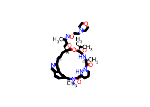 C/C(CC[C@@H]1C/C=C/c2cc3cc(ccc3cn2)[C@@H](C)NC(=O)[C@@H]2CCCN(N2)C(=O)[C@H](C)NC(=O)[C@H](C(C)C)OC1=O)=N/OCCN1CCOCC1